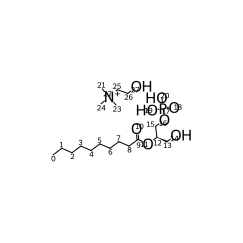 CCCCCCCCCC(=O)O[C@H](CO)COP(=O)(O)O.C[N+](C)(C)CCO